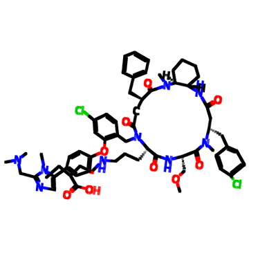 CCC(CCNCCC[C@H]1C(=O)N[C@@H](COC)C(=O)N(C)[C@@H](Cc2ccc(Cl)cc2)CC(=O)N[C@H]2CCCC[C@@H]2N(C)C(=O)[C@H](Cc2ccccc2)CC(=O)N1Cc1ccc(Cl)cc1Oc1ccc(-c2cnc(CN(C)C)n2C)cc1)C(=O)O